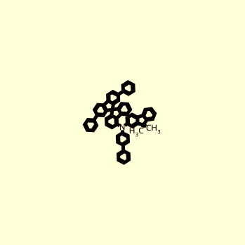 CC1(C)c2ccccc2-c2ccc(N(c3ccc(-c4ccccc4)cc3)c3cccc4c3-c3ccccc3C43c4cc(-c5ccccc5)ccc4-c4ccc(-c5ccccc5)cc43)cc21